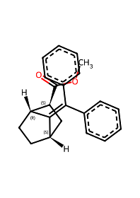 COC(=O)[C@H]1C[C@@H]2CC[C@H]1C2=C(c1ccccc1)c1ccccc1